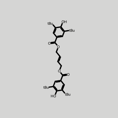 CC(C)(C)c1cc(C(=O)OCC=CCOC(=O)c2cc(C(C)(C)C)c(O)c(C(C)(C)C)c2)cc(C(C)(C)C)c1O